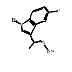 CCn1cc(C(C)OC=O)c2cc(Cl)ccc21